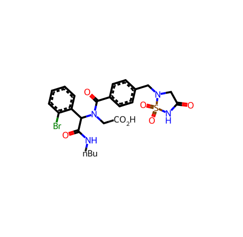 CCCCNC(=O)C(c1ccccc1Br)N(CC(=O)O)C(=O)c1ccc(CN2CC(=O)NS2(=O)=O)cc1